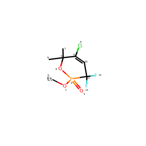 CCOP1(=O)OC(C)(C)C(Cl)=CC1(F)F